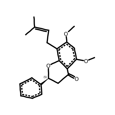 COc1cc(OC)c2c(c1CC=C(C)C)O[C@H](c1ccccc1)CC2=O